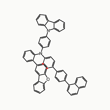 c1ccc(N(c2ccc(-c3ccc(-c4cccc5ccccc45)cc3)cc2)c2ccc(-n3c4ccccc4c4ccccc43)cc2)c(-c2ccc3oc4ccccc4c3c2)c1